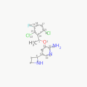 CC(Oc1cc(C2CCN2)cnc1N)c1c(Cl)ccc(F)c1Cl